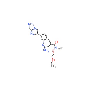 CCCN(OCCOCC(F)(F)F)C(=O)C1=Cc2ccc(-c3cnc(CN)nc3)cc2N=C(N)C1